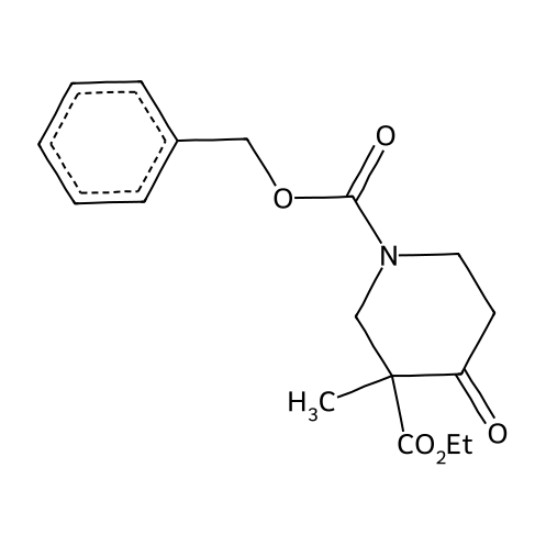 CCOC(=O)C1(C)CN(C(=O)OCc2ccccc2)CCC1=O